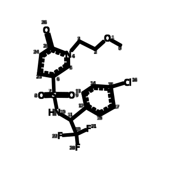 COCCn1cc(S(=O)(=O)NC(c2ccc(Cl)cc2)C(F)(F)F)ccc1=O